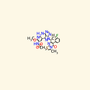 COc1ncc(-c2nn([C@@H](C)c3nc4scc(C)n4c(=O)c3-c3cccc(F)c3)c3ncnc(N)c23)cc1NS(C)(=O)=O